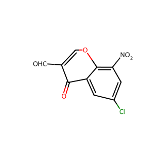 O=Cc1coc2c([N+](=O)[O-])cc(Cl)cc2c1=O